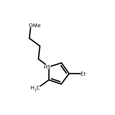 CCC1=C[SH](CCCOC)C(C)=C1